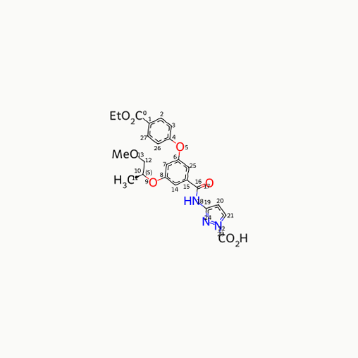 CCOC(=O)c1ccc(Oc2cc(O[C@@H](C)COC)cc(C(=O)Nc3ccn(C(=O)O)n3)c2)cc1